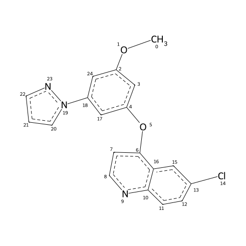 COc1cc(Oc2ccnc3ccc(Cl)cc23)cc(-n2cccn2)c1